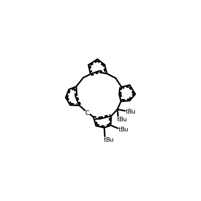 CC(C)(C)c1cc2cc(c1C(C)(C)C)C(C(C)(C)C)(C(C)(C)C)c1cccc(c1)Cc1cccc(c1)Cc1cccc(c1)C2